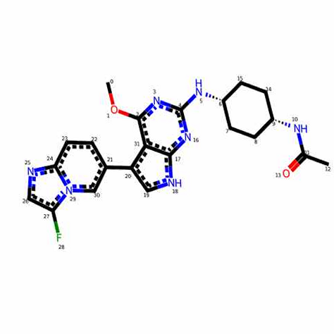 COc1nc(N[C@H]2CC[C@@H](NC(C)=O)CC2)nc2[nH]cc(-c3ccc4ncc(F)n4c3)c12